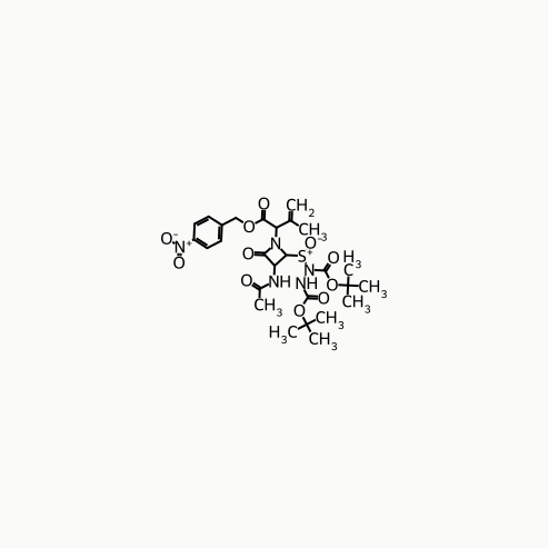 C=C(C)C(C(=O)OCc1ccc([N+](=O)[O-])cc1)N1C(=O)C(NC(C)=O)C1[S+]([O-])N(NC(=O)OC(C)(C)C)C(=O)OC(C)(C)C